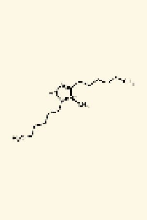 CCCCCCc1c[nH]c(CCCCCC)[n+]1C